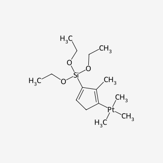 CCO[Si](OCC)(OCC)C1=CC[C]([Pt]([CH3])([CH3])[CH3])=C1C